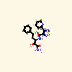 NC(=O)C(=O)C(CCc1ccccc1)NC(=O)c1nsnc1-c1ccccn1